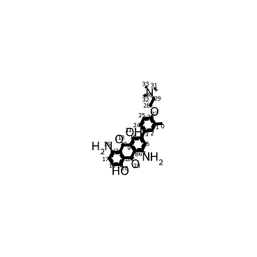 Cc1cc(-c2cc(N)c3c(c2O)C(=O)c2c(N)ccc(O)c2C3=O)ccc1OCC[N+](C)(C)C